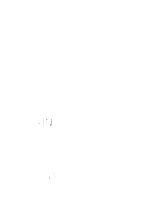 CC1(C)CSc2ccccc2NC1=O